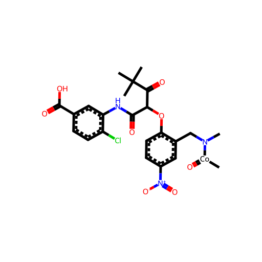 C[N](Cc1cc([N+](=O)[O-])ccc1OC(C(=O)Nc1cc(C(=O)O)ccc1Cl)C(=O)C(C)(C)C)[Co]([CH3])=[O]